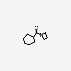 O=C(C1CCCCC1)N1CCC1